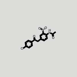 CC(=O)Nc1ccc(CC(=O)c2ccc(Cl)cc2)cc1[N+](=O)[O-]